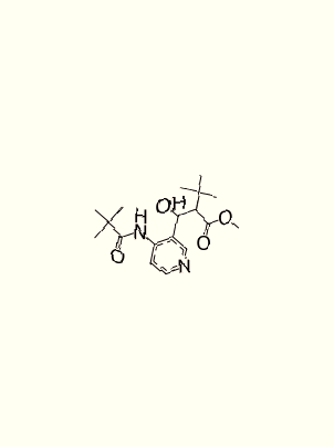 COC(=O)C(C(O)c1cnccc1NC(=O)C(C)(C)C)C(C)(C)C